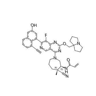 C#Cc1cccc2cc(O)cc(-c3ncc4c(N5CCC[C@@](C)(C#N)[C@H](NC(=O)C=C)C5)nc(OCC56CCCN5CCC6)nc4c3F)c12